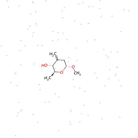 C=C1C[C@H](OC)O[C@@H](C)[C@@H]1O